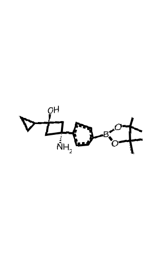 CC1(C)OB(c2ccc([C@]3(N)C[C@@](O)(C4CC4)C3)cc2)OC1(C)C